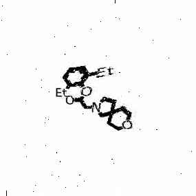 CCc1cccc(CC)c1OC(=O)CN1CCC2(CCOCC2)C1